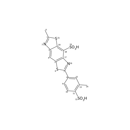 Cc1nc2cc3sc(-c4ccc(S(=O)(=O)O)c(C)c4)nc3c(S(=O)(=O)O)c2s1